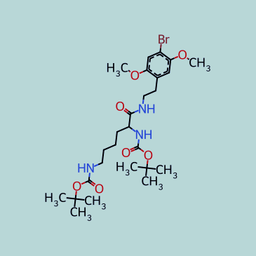 COc1cc(CCNC(=O)C(CCCCNC(=O)OC(C)(C)C)NC(=O)OC(C)(C)C)c(OC)cc1Br